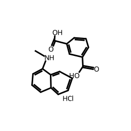 CNc1cccc2ccccc12.Cl.O=C(O)c1cccc(C(=O)O)c1